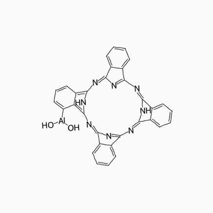 [OH][Al]([OH])[c]1cccc2c3nc4nc(nc5[nH]c(nc6nc(nc([nH]3)c12)-c1ccccc1-6)c1ccccc51)-c1ccccc1-4